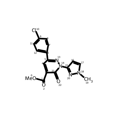 COC(=O)c1cc(-c2ccc(Cl)cc2)nn(-c2ccn(C)n2)c1=O